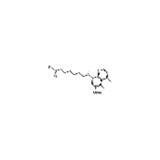 CCN(CC)CCCCCCNc1cc(OC)c(F)c2c(C)ccnc12